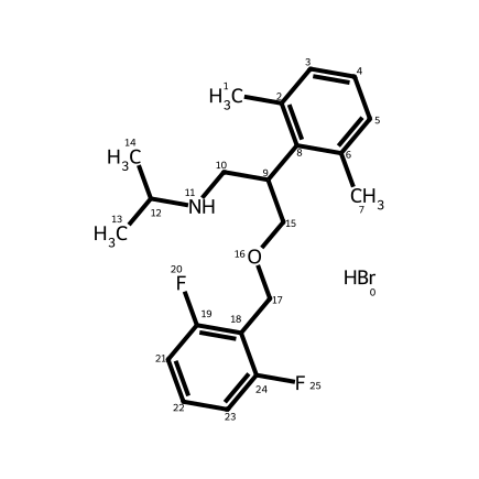 Br.Cc1cccc(C)c1C(CNC(C)C)COCc1c(F)cccc1F